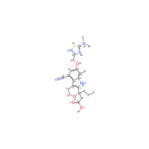 CCCC1(CC(=O)OC)OCCc2c1[nH]c1c(C)c(OCc3nsc(N(C)C)n3)cc(C#N)c21